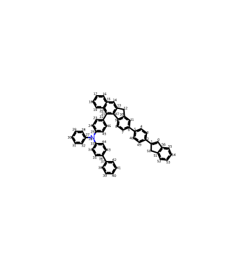 C1=C(c2ccc(-c3ccc4c(c3)Cc3cc5ccccc5c(-c5ccc(N(c6ccccc6)c6ccc(-c7ccccc7)cc6)cc5)c3-4)cc2)Cc2ccccc21